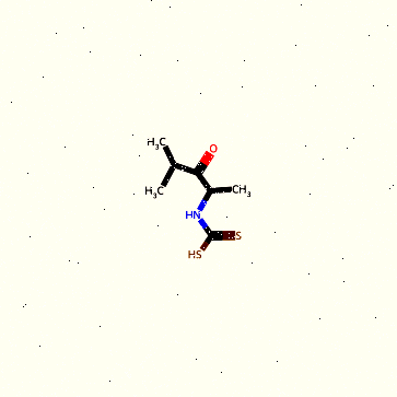 CC(C)C(=O)C(C)NC(=S)S